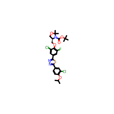 CC(C)Oc1ccc(-c2nnc(-c3cc(F)c(OC[C@H]4COC(C)(C)N4C(=O)OC(C)(C)C)c(Cl)c3)s2)cc1Cl